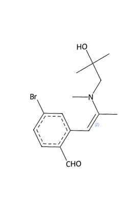 C/C(=C/c1cc(Br)ccc1C=O)N(C)CC(C)(C)O